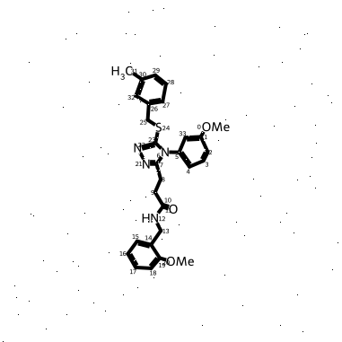 COc1cccc(-n2c(CCC(=O)NCc3ccccc3OC)nnc2SCc2cccc(C)c2)c1